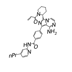 C=CC(=O)N1CCCC[C@H]1c1nc(-c2ccc(C(=O)Nc3cc(CCC)ccn3)cc2)c2c(N)nccn12